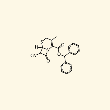 [C-]#[N+]C1C(=O)N2C(C(=O)OC(c3ccccc3)c3ccccc3)=C(C)CS[C@@H]12